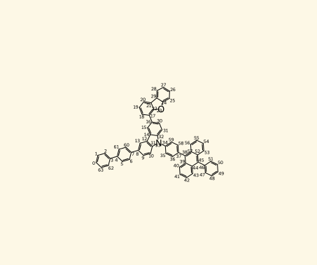 c1ccc(-c2ccc(-c3ccc4c(c3)c3cc(-c5cccc6c5oc5ccccc56)ccc3n4-c3ccc(-c4c5ccccc5c(-c5ccccc5)c5ccccc45)cc3)cc2)cc1